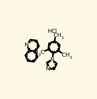 Cc1cc(C)c(-n2ccnc2)c(C)c1.Cl.c1ccc2ncccc2c1